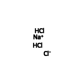 Cl.Cl.[Cl-].[Na+]